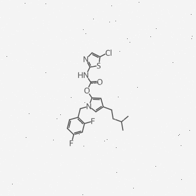 CC(C)CCc1cc(OC(=O)Nc2ncc(Cl)s2)n(Cc2ccc(F)cc2F)c1